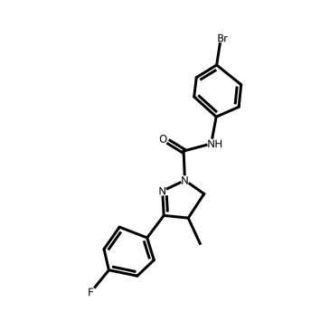 CC1CN(C(=O)Nc2ccc(Br)cc2)N=C1c1ccc(F)cc1